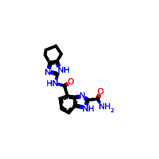 NC(=O)c1nc2c(C(=O)Nc3nc4c([nH]3)CCCC4)cccc2[nH]1